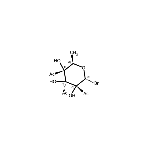 CC(=O)[C@]1(O)[C@@](O)(C(C)=O)[C@@H](C)O[C@H](Br)[C@@]1(O)C(C)=O